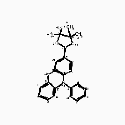 CC1(C)OB(c2ccc3c(c2)Sc2ccccc2N3c2ccccc2)OC1(C)C